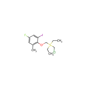 CCS(CC)(CCl)COc1c(C)cc(F)cc1I